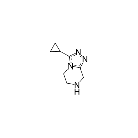 C1Cn2c(nnc2C2CC2)CN1